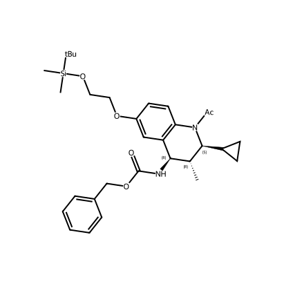 CC(=O)N1c2ccc(OCCO[Si](C)(C)C(C)(C)C)cc2[C@H](NC(=O)OCc2ccccc2)[C@@H](C)[C@@H]1C1CC1